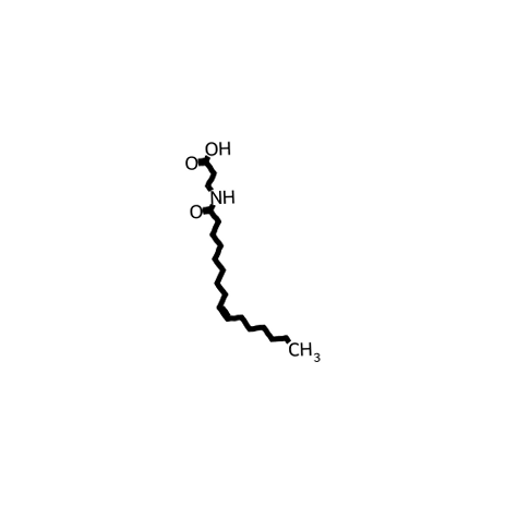 CCCCCC/C=C\CCCCCCCC(=O)NCCC(=O)O